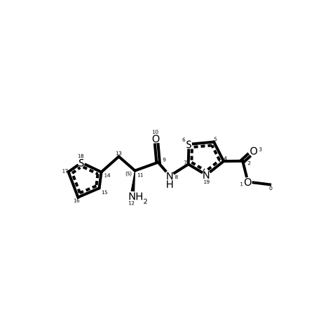 COC(=O)c1csc(NC(=O)[C@@H](N)Cc2cccs2)n1